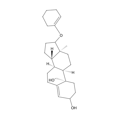 C[C@]12CC[C@@H]3[C@@H](CCC4=CC(O)CC[C@@]43CO)[C@@H]1CCC2OC1=CCCCC1